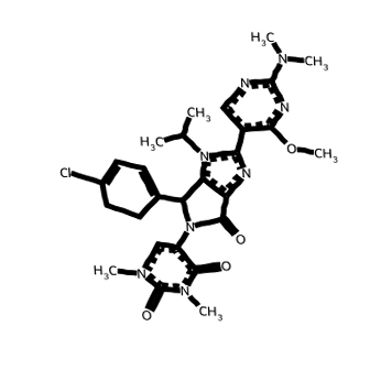 COc1nc(N(C)C)ncc1-c1nc2c(n1C(C)C)C(C1=CC=C(Cl)CC1)N(c1cn(C)c(=O)n(C)c1=O)C2=O